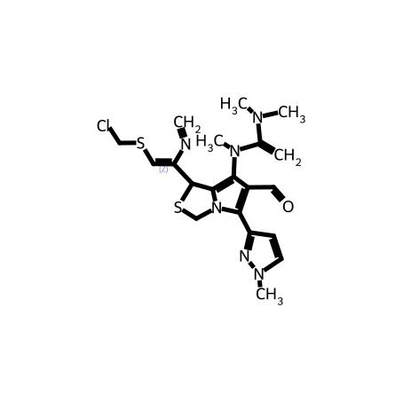 C=N/C(=C\SCCl)C1SCn2c(-c3ccn(C)n3)c(C=O)c(N(C)C(=C)N(C)C)c21